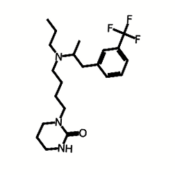 CCCN(CCCCN1CCCNC1=O)C(C)Cc1cccc(C(F)(F)F)c1